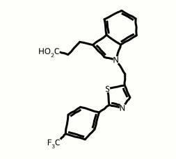 O=C(O)CCc1cn(Cc2cnc(-c3ccc(C(F)(F)F)cc3)s2)c2ccccc12